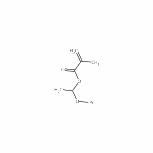 [CH2]C(OC(=O)C(=C)C)OC(C)C